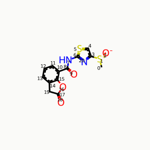 C[S+]([O-])c1csc(NC(=O)c2cccc3c2OC(=O)C3)n1